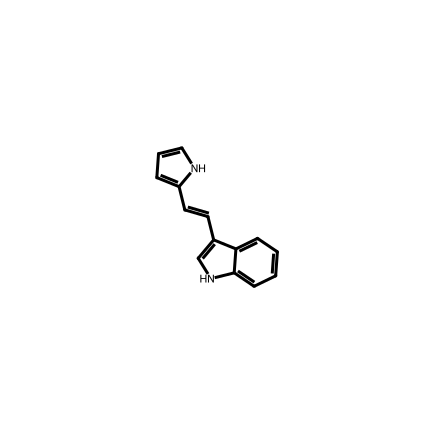 C(=Cc1c[nH]c2ccccc12)c1ccc[nH]1